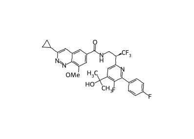 COc1cc(C(=O)NC[C@H](c2cc(C(C)(C)O)c(F)c(-c3ccc(F)cc3)n2)C(F)(F)F)cc2cc(C3CC3)nnc12